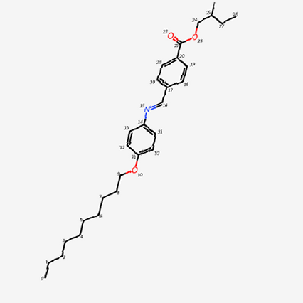 CCCCCCCCCCOc1ccc(N=Cc2ccc(C(=O)OCC(C)CC)cc2)cc1